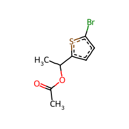 CC(=O)OC(C)c1ccc(Br)s1